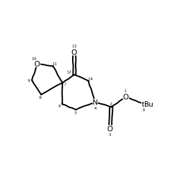 CC(C)(C)OC(=O)N1CCC2(CCOC2)C(=O)C1